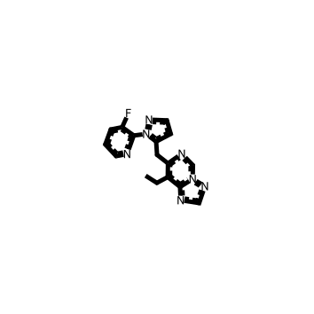 CCc1c(Cc2ccnn2-c2ncccc2F)ncn2ncnc12